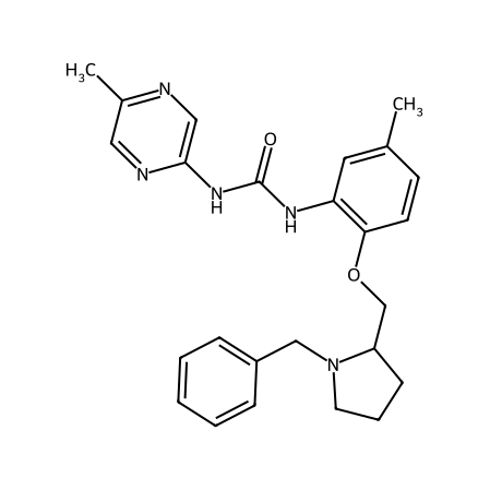 Cc1ccc(OCC2CCCN2Cc2ccccc2)c(NC(=O)Nc2cnc(C)cn2)c1